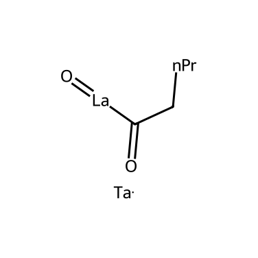 CCCC[C](=O)[La]=[O].[Ta]